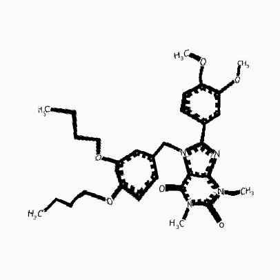 CCCCOc1ccc(Cn2c(-c3ccc(OC)c(OC)c3)nc3c2c(=O)n(C)c(=O)n3C)cc1OCCCC